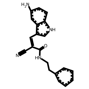 N#CC(=Cc1c[nH]c2ccc(N)cc12)C(=O)NCCc1ccccc1